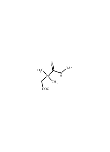 CC(=O)ONC(=O)[N+](C)(C)CC(=O)[O-]